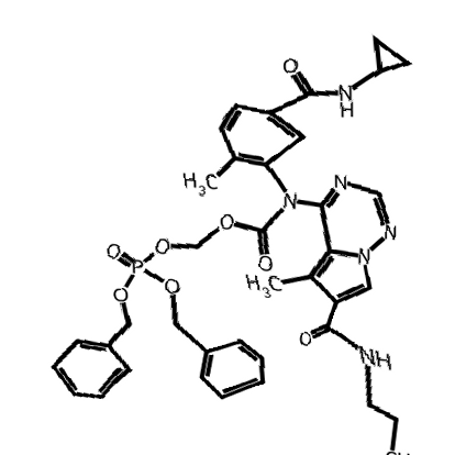 CCCNC(=O)c1cn2ncnc(N(C(=O)OCOP(=O)(OCc3ccccc3)OCc3ccccc3)c3cc(C(=O)NC4CC4)ccc3C)c2c1C